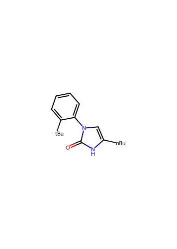 CCCCc1cn(-c2ccccc2C(C)(C)C)c(=O)[nH]1